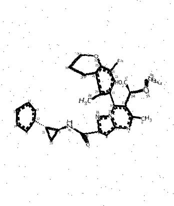 Cc1nc2cc(C(=O)N[C@H]3C[C@@H]3c3ccccc3)nn2c(-c2cc(F)c3c(c2C)CCCO3)c1[C@H](OC(C)(C)C)C(=O)O